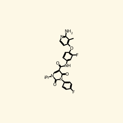 Cc1c(Oc2ccc(NC(=O)c3cn(C(C)C)c(=O)n(-c4ccc(F)cc4)c3=O)cc2F)ccnc1N